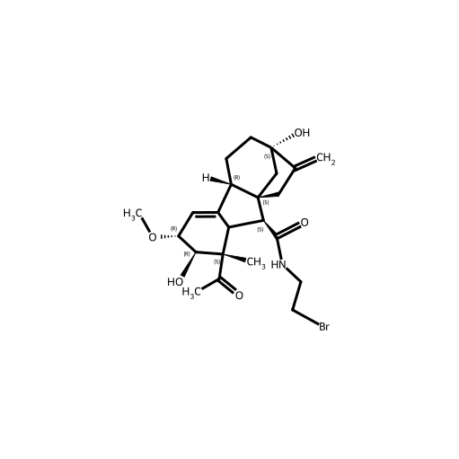 C=C1C[C@]23C[C@@]1(O)CC[C@H]2C1=C[C@@H](OC)[C@H](O)[C@@](C)(C(C)=O)C1[C@@H]3C(=O)NCCBr